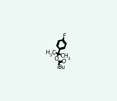 CCC(C)C(=O)OC(C)(C)c1ccc(F)cc1